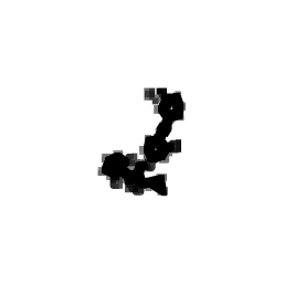 Nc1cccc(C#Cc2ccc(OCc3c(-c4c(Cl)cccc4Cl)noc3C3CC3)cc2Cl)c1